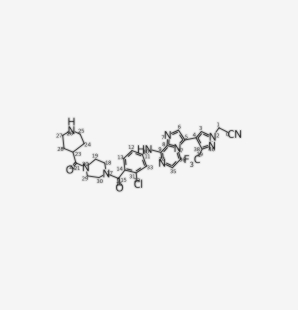 N#CCn1cc(-c2cnc3c(Nc4ccc(C(=O)N5CCN(C(=O)C6CCNCC6)CC5)c(Cl)c4)nccn23)c(C(F)(F)F)n1